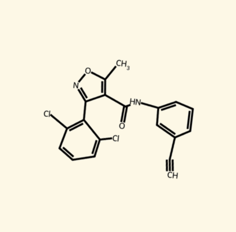 C#Cc1cccc(NC(=O)c2c(-c3c(Cl)cccc3Cl)noc2C)c1